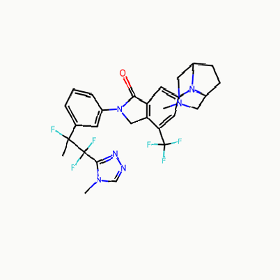 CN1CC2CCC(C1)N2c1cc2c(c(C(F)(F)F)c1)CN(c1cccc(C(C)(F)C(F)(F)c3nncn3C)c1)C2=O